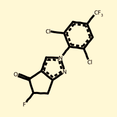 O=C1c2cn(-c3c(Cl)cc(C(F)(F)F)cc3Cl)nc2CC1F